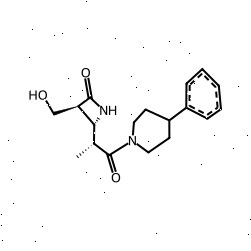 C[C@@H](C(=O)N1CCC(c2ccccc2)CC1)[C@H]1NC(=O)[C@@H]1CO